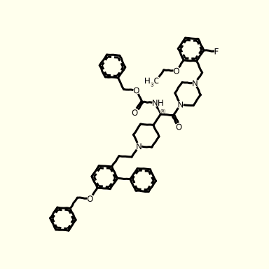 CCOc1cccc(F)c1CN1CCN(C(=O)[C@H](NC(=O)OCc2ccccc2)C2CCN(CCc3ccc(OCc4ccccc4)cc3-c3ccccc3)CC2)CC1